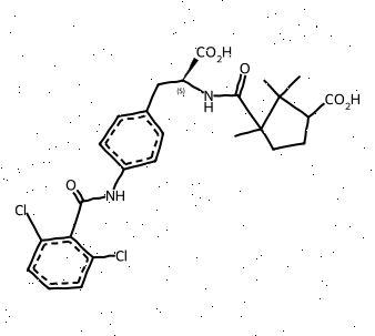 CC1(C(=O)N[C@@H](Cc2ccc(NC(=O)c3c(Cl)cccc3Cl)cc2)C(=O)O)CCC(C(=O)O)C1(C)C